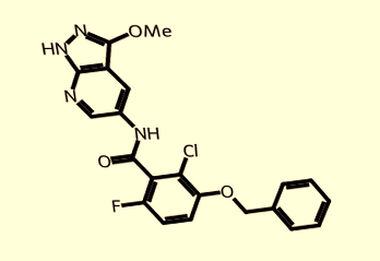 COc1n[nH]c2ncc(NC(=O)c3c(F)ccc(OCc4ccccc4)c3Cl)cc12